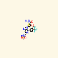 C[C@@H](Oc1cc(-n2cnc3cc(CNS(C)(=O)=O)ncc32)sc1C(N)=O)c1ccccc1C(F)(F)F